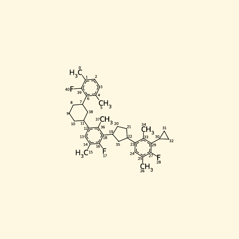 Cc1ccc(C)c(C2CCCC(c3cc(C)c(F)c(C4CCC(c5cc(C)c(F)c(C6CC6)c5C)C4)c3C)C2)c1F